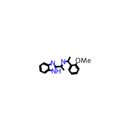 COc1ccccc1C(C)N=C(C)c1nc2ccccc2[nH]1